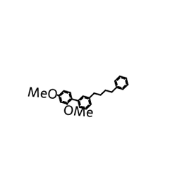 COc1ccc(-c2cccc(CCCCc3ccccc3)c2)c(OC)c1